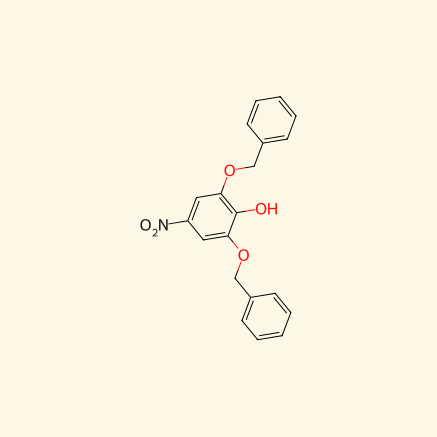 O=[N+]([O-])c1cc(OCc2ccccc2)c(O)c(OCc2ccccc2)c1